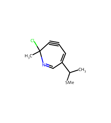 CSC(C)C1=CC#CC(C)(Cl)N=C1